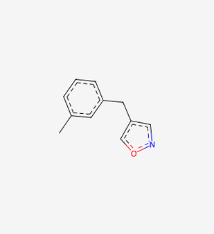 Cc1cccc(Cc2cnoc2)c1